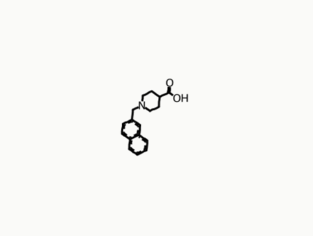 O=C(O)C1CCN(Cc2ccc3ccccc3c2)CC1